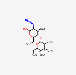 CC(=O)OCC1OC(O)C(N=[N+]=[N-])[C@@H](OC(C)=O)[C@@H]1O[C@@H]1OC(COC(C)=O)[C@@H](OC(C)=O)[C@H](OC(C)=O)C1OC(C)=O